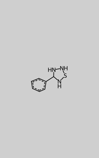 c1ccc(C2NNSN2)cc1